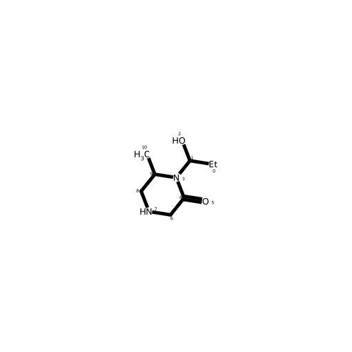 CCC(O)N1C(=O)CNCC1C